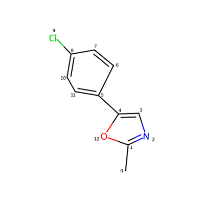 Cc1ncc(-c2ccc(Cl)cc2)o1